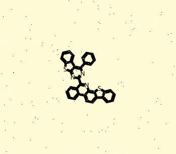 c1ccc(-c2nc(-c3nc4c(ccc5c6ccccc6sc54)c4ccccc34)nc3sc4ccccc4c23)cc1